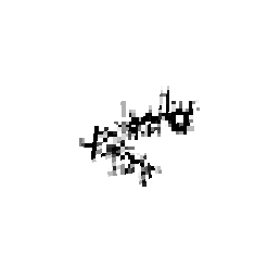 Cc1nc(Nc2cc(CC(=O)Nc3cccc(F)c3)[nH]n2)nc(N(C)CCCN(C)C)n1